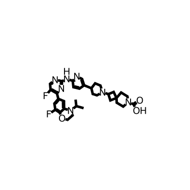 CC(C)N1CCOc2c(F)cc(-c3nc(Nc4ccc(C5CCN(C6CC7(CCN(C(=O)O)CC7)C6)CC5)cn4)ncc3F)cc21